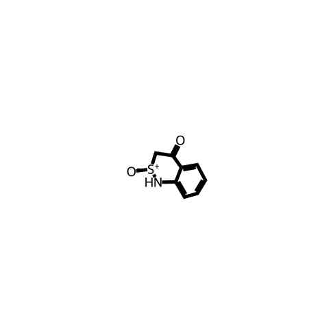 O=C1C[S+]([O-])Nc2ccccc21